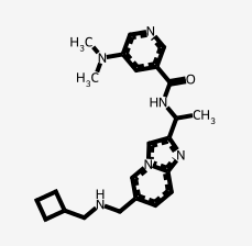 CC(NC(=O)c1cncc(N(C)C)c1)c1cn2cc(CNCC3CCC3)ccc2n1